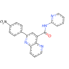 O=C(Nc1ccccn1)c1cc(-c2ccc([N+](=O)[O-])cc2)nc2cccnc12